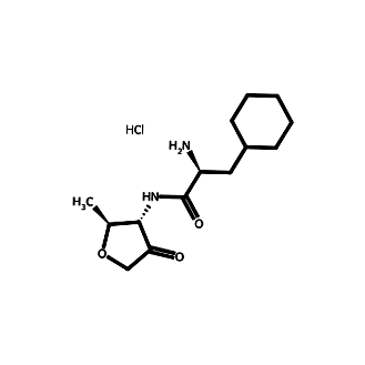 C[C@@H]1OCC(=O)[C@H]1NC(=O)[C@@H](N)CC1CCCCC1.Cl